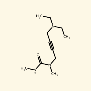 CCN(CC)CC#CCN(C)C(=O)NC